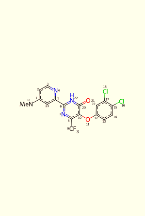 CNc1ccnc(-c2nc(C(F)(F)F)c(Oc3ccc(Cl)c(Cl)c3)c(=O)[nH]2)c1